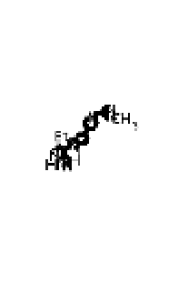 CCc1c(-c2ccnc3[nH]ncc23)[nH]c2ccc(C3CCN(Cc4cnn(C)c4)CC3)cc12